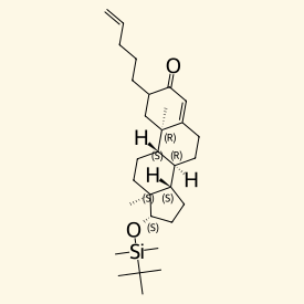 C=CCCCC1C[C@@]2(C)C(=CC1=O)CC[C@H]1[C@@H]3CC[C@H](O[Si](C)(C)C(C)(C)C)[C@@]3(C)CC[C@@H]12